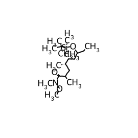 CCC(CC[C@@H](C)CC(C)C(=O)N(C)OC)O[Si](C)(C)C(C)(C)C